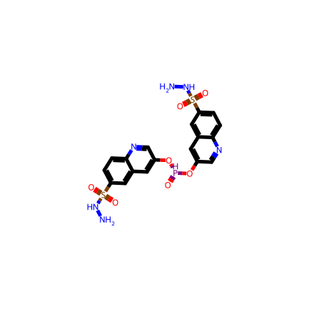 NNS(=O)(=O)c1ccc2ncc(O[PH](=O)Oc3cnc4ccc(S(=O)(=O)NN)cc4c3)cc2c1